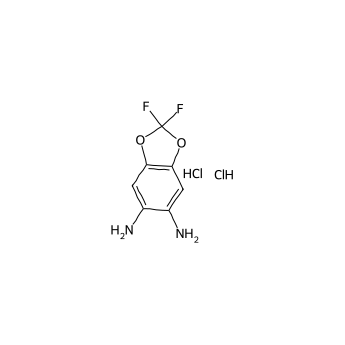 Cl.Cl.Nc1cc2c(cc1N)OC(F)(F)O2